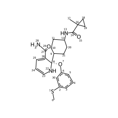 CSc1cccc(O[C@]2(C3CCC(NC(=O)C4(C)CC4)CC3)NC=CC=C2C(N)=O)c1